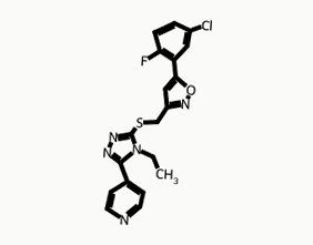 CCn1c(SCc2cc(-c3cc(Cl)ccc3F)on2)nnc1-c1ccncc1